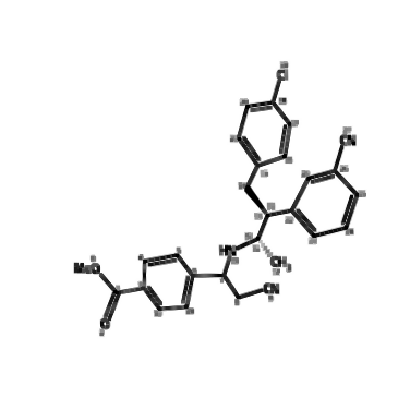 COC(=O)c1ccc(C(CC#N)N[C@@H](C)[C@@H](Cc2ccc(Cl)cc2)c2cccc(C#N)c2)cc1